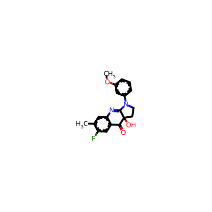 COc1cccc(N2CCC3(O)C(=O)c4cc(F)c(C)cc4N=C23)c1